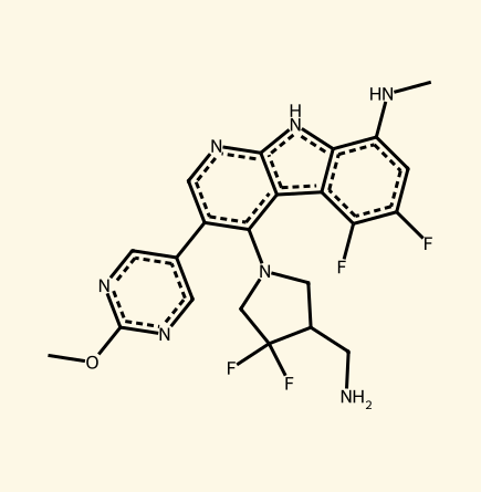 CNc1cc(F)c(F)c2c1[nH]c1ncc(-c3cnc(OC)nc3)c(N3CC(CN)C(F)(F)C3)c12